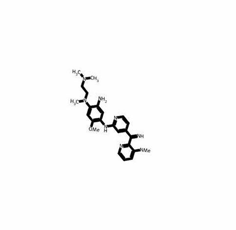 CNc1cccnc1C(=N)c1ccnc(Nc2cc(N)c(N(C)CCN(C)C)cc2OC)c1